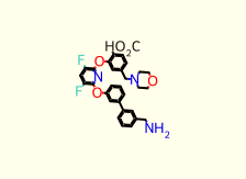 NCc1cccc(-c2cccc(Oc3nc(Oc4cc(CN5CCOCC5)ccc4C(=O)O)c(F)cc3F)c2)c1